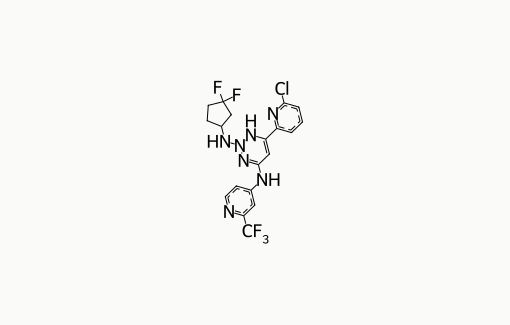 FC1(F)CCC(NN2N=C(Nc3ccnc(C(F)(F)F)c3)C=C(c3cccc(Cl)n3)N2)C1